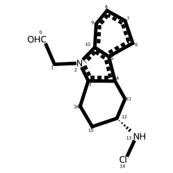 O=CCn1c2c(c3ccccc31)C[C@H](NCl)CC2